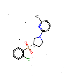 N#Cc1cccc(N2CC[C@H](S(=O)(=O)c3ccccc3Cl)C2)n1